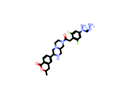 CC1Cc2cc(C3CN4CCN(C(=O)Cc5c(F)cc(N(N)/C=N\N)cc5F)CC4CN3)ccc2C(=O)O1